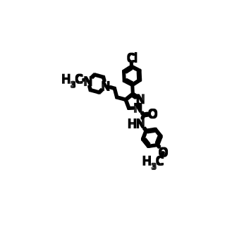 COc1ccc(NC(=O)N2CC(CCN3CCN(C)CC3)C(c3ccc(Cl)cc3)=N2)cc1